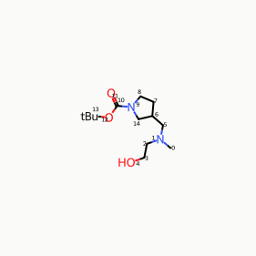 CN(CCO)CC1CCN(C(=O)OC(C)(C)C)C1